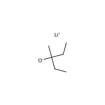 CCC(C)([O-])CC.[Li+]